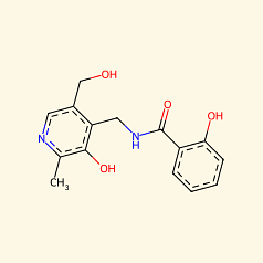 Cc1ncc(CO)c(CNC(=O)c2ccccc2O)c1O